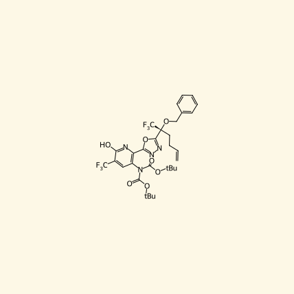 C=CCC[C@@](OCc1ccccc1)(c1nnc(-c2nc(O)c(C(F)(F)F)cc2N(C(=O)OC(C)(C)C)C(=O)OC(C)(C)C)o1)C(F)(F)F